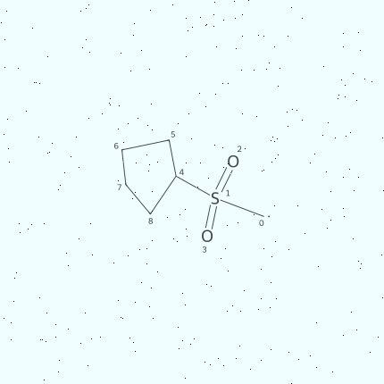 [CH2]S(=O)(=O)C1CCCC1